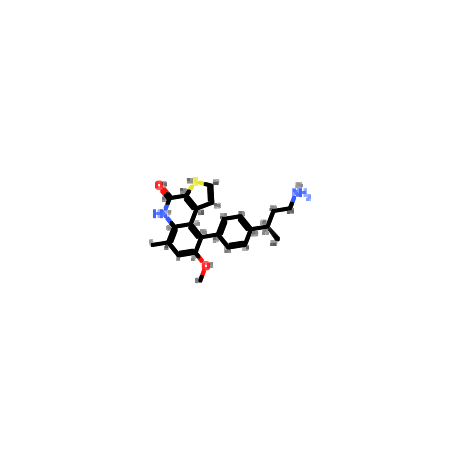 COc1cc(C)c2[nH]c(=O)c3sccc3c2c1-c1ccc([C@H](C)CCN)cc1